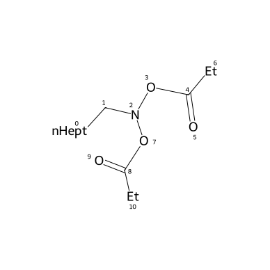 CCCCCCCCN(OC(=O)CC)OC(=O)CC